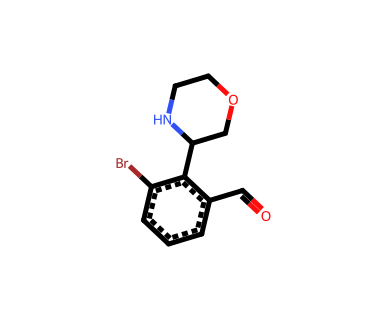 O=Cc1cccc(Br)c1C1COCCN1